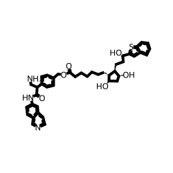 NCC(C(=O)Nc1ccc2cnccc2c1)c1ccc(COC(=O)CCCCCC[C@@H]2[C@@H](CCC(O)c3cc4ccccc4s3)[C@H](O)C[C@@H]2O)cc1